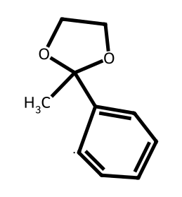 CC1(c2[c]cccc2)OCCO1